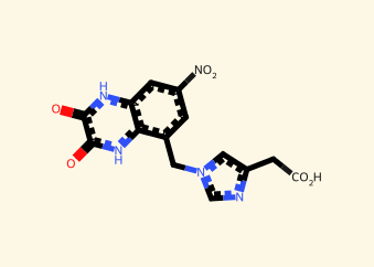 O=C(O)Cc1cn(Cc2cc([N+](=O)[O-])cc3[nH]c(=O)c(=O)[nH]c23)cn1